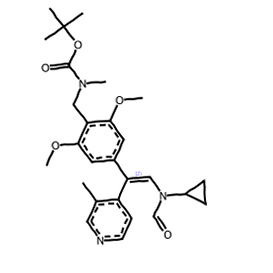 COc1cc(/C(=C/N(C=O)C2CC2)c2ccncc2C)cc(OC)c1CN(C)C(=O)OC(C)(C)C